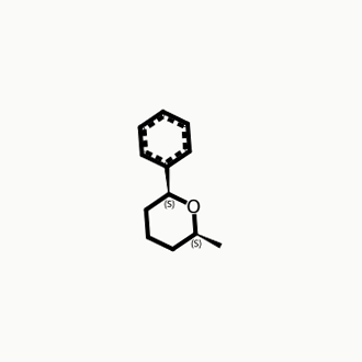 C[C@H]1CCC[C@@H](c2ccccc2)O1